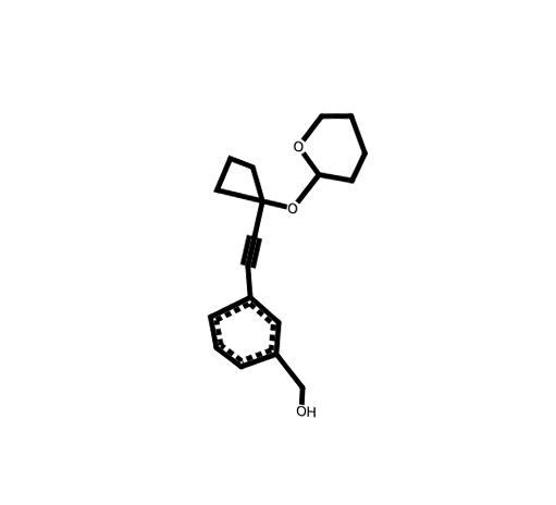 OCc1cccc(C#CC2(OC3CCCCO3)CCC2)c1